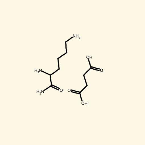 NCCCCC(N)C(N)=O.O=C(O)CCC(=O)O